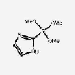 CO[Si](OC)(OC)c1ncc[nH]1